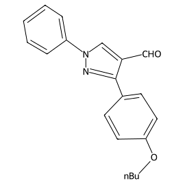 CCCCOc1ccc(-c2nn(-c3ccccc3)cc2C=O)cc1